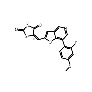 CSc1ccc(-c2cncc3cc(/C=C4/SC(=O)NC4=O)oc23)c(F)c1